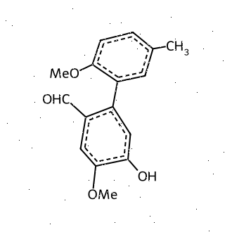 COc1cc(C=O)c(-c2cc(C)ccc2OC)cc1O